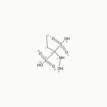 CCC(NO)(S(=O)(=O)O)S(=O)(=O)O